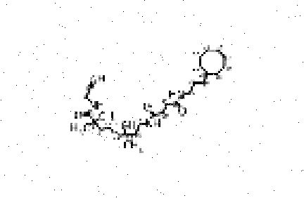 C#CCNC(=O)C(C)(C)CCOC(C)(C)CCNC(=O)CCC(=O)NCCCC1CCCCCCC1